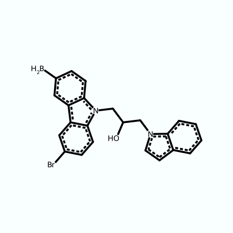 Bc1ccc2c(c1)c1cc(Br)ccc1n2CC(O)Cn1ccc2ccccc21